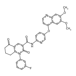 COc1cc2nccc(Oc3ccc(NC(=O)c4cc5c(n(-c6cccc(F)c6)c4=O)CCCC5=O)nc3)c2cc1OC